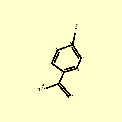 C=C(CCC)c1ccc(F)cc1